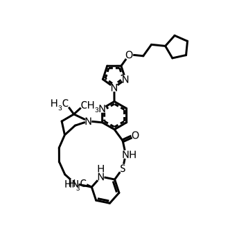 CC12C=CC=C(N1)SNC(=O)c1ccc(-n3ccc(OCCC4CCCC4)n3)nc1N1CC(CCCN2)CC1(C)C